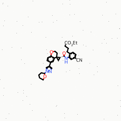 CCOC(=O)CCCc1ccc(C#N)cc1NC(=O)[C@@H]1CC12CCOc1ccc(-c3cnn(C4CCCCO4)c3)cc12